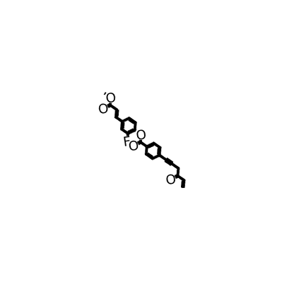 C=CC(=O)CC#Cc1ccc(C(=O)Oc2ccc(/C=C/C(=O)OC)cc2F)cc1